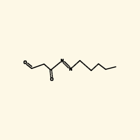 CCCCCN=NC(=O)CC=O